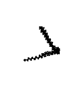 CCCCCCCCCCCCCCCCCCC1N(C)C=CN1CCCCCCCCCCCCCCC